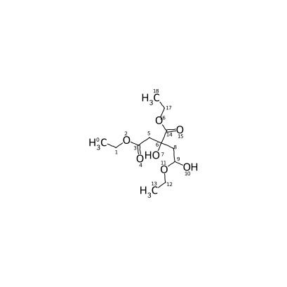 CCOC(=O)CC(O)(CC(O)OCC)C(=O)OCC